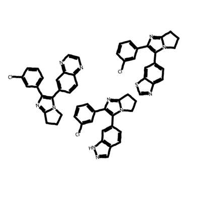 Clc1cccc(-c2nc3n(c2-c2ccc4cn[nH]c4c2)CCC3)c1.Clc1cccc(-c2nc3n(c2-c2ccc4nccnc4c2)CCC3)c1.Clc1cccc(-c2nc3n(c2-c2ccc4ncsc4c2)CCC3)c1